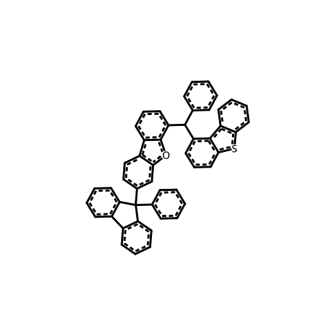 c1ccc(C(c2cccc3c2oc2cc(C4(c5ccccc5)c5ccccc5-c5ccccc54)ccc23)c2cccc3sc4ccccc4c23)cc1